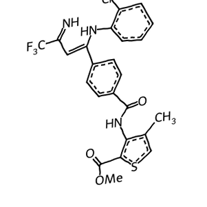 COC(=O)c1scc(C)c1NC(=O)c1ccc(/C(=C/C(=N)C(F)(F)F)Nc2ccccc2Cl)cc1